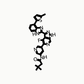 Cc1ccc(-c2cccc3[nH]c(-c4n[nH]c5cnc(-c6cncc(NC(=O)CC(C)(C)C)c6)c(F)c45)nc23)s1